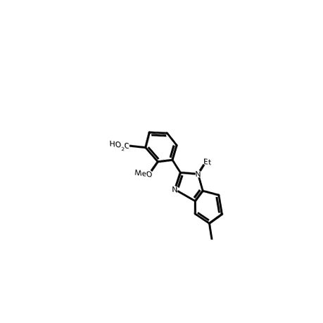 CCn1c(-c2cccc(C(=O)O)c2OC)nc2cc(C)ccc21